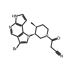 C[C@H]1CCN(C(=O)CC#N)C[C@H]1n1cc(Br)c2cnc3[nH]ccc3c21